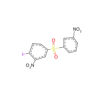 O=[N+]([O-])c1cccc(S(=O)(=O)c2ccc(I)c([N+](=O)[O-])c2)c1